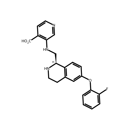 O=C(O)c1ccncc1NC[C@@H]1NCCc2cc(Oc3ccccc3F)ccc21